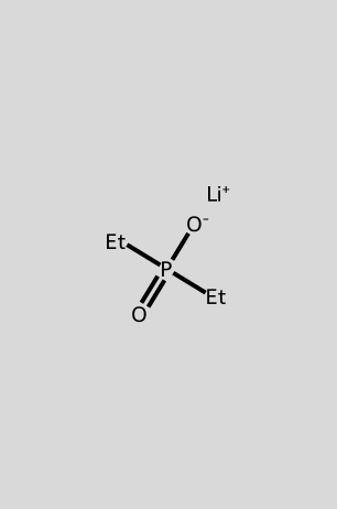 CCP(=O)([O-])CC.[Li+]